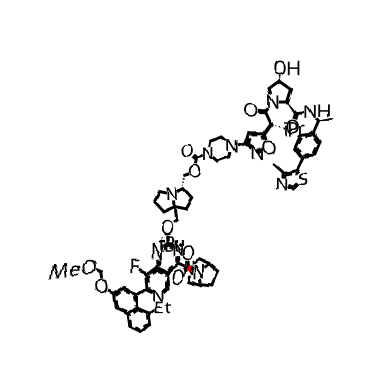 CCc1cccc2cc(OCOC)cc(-c3ncc4c(N5CC6CCC(C5)N6C(=O)OC(C)(C)C)nc(OCC56CCCN5[C@H](COC(=O)N5CCN(c7cc([C@H](C(=O)N8C[C@H](O)C[C@H]8C(=O)N[C@@H](C)c8ccc(-c9scnc9C)cc8)C(C)C)on7)CC5)CC6)nc4c3F)c12